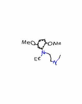 CCN(CCN(C)C)c1cc(OC)ccc1OC